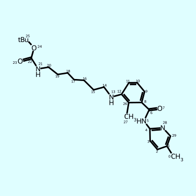 Cc1ccc(NC(=O)c2cccc(NCCCCCCCNC(=O)OC(C)(C)C)c2C)nc1